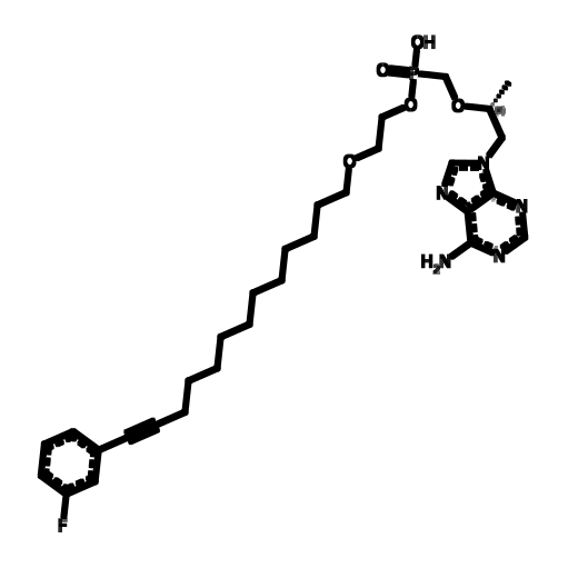 C[C@H](Cn1cnc2c(N)ncnc21)OCP(=O)(O)OCCOCCCCCCCCCCCC#Cc1cccc(F)c1